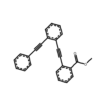 COC(=O)c1ccccc1C#Cc1ccccc1C#Cc1ccccc1